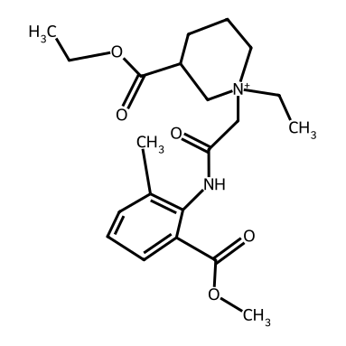 CCOC(=O)C1CCC[N+](CC)(CC(=O)Nc2c(C)cccc2C(=O)OC)C1